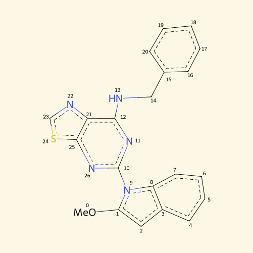 COc1cc2ccccc2n1-c1nc(NCc2ccccc2)c2ncsc2n1